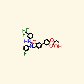 CCC(Oc1ccc(-c2ccc(CN(C(=O)Nc3cccc(C(F)(F)F)c3)c3cccc(F)c3)cc2)cc1)C(=O)O